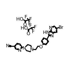 N#Cc1ccc(N2CCN(CCOc3ccc(-c4nc5cc(Br)cnc5[nH]4)cc3)CC2)nc1.O=C(O)C(F)(F)F.O=C(O)C(F)(F)F